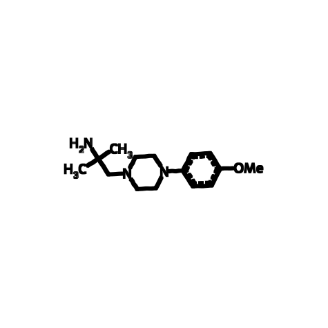 COc1ccc(N2CCN(CC(C)(C)N)CC2)cc1